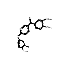 COc1ccc(Oc2ccc(C(=O)c3ccc(OC)c(OC)c3)cn2)cc1F